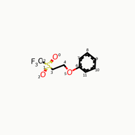 O=S(=O)(CCOc1ccccc1)C(F)(F)F